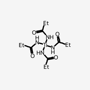 CCC(=O)[NH][Ti]([NH]C(=O)CC)([NH]C(=O)CC)[NH]C(=O)CC